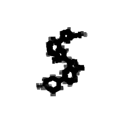 Fc1ccc(-c2nccc3[nH]c(-c4n[nH]c5ncc(C6CCNCC6)cc45)cc23)s1